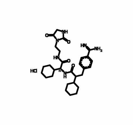 Cl.N=C(N)c1ccc(CC(C(=O)N[C@H](C(=O)NCCN2C(=O)CNC2=O)C2CCCCC2)C2CCCCC2)cc1